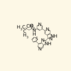 CC(C)(C)CC(=O)Nc1cncc(-c2cc3c(-c4nc5c(-c6cccs6)cncc5[nH]4)n[nH]c3cn2)c1